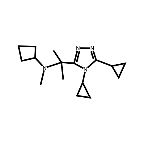 CN(C1CCC1)C(C)(C)c1nnc(C2CC2)n1C1CC1